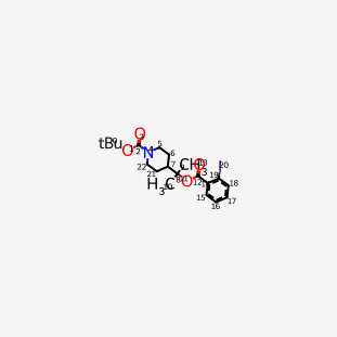 CC(C)(C)OC(=O)N1CCC(C(C)(C)OC(=O)c2ccccc2I)CC1